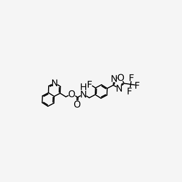 O=C(NCc1ccc(-c2noc(C(F)(F)F)n2)cc1F)OCc1cncc2ccccc12